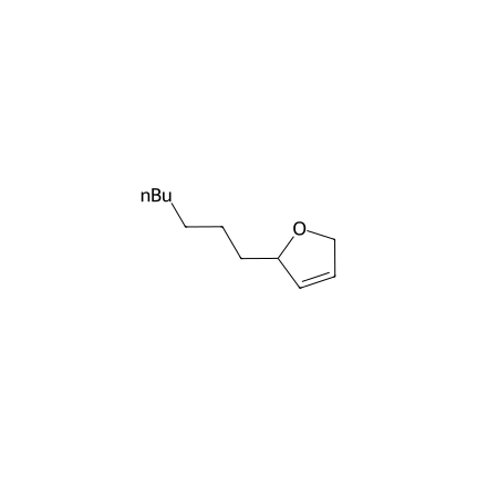 CCCCCCCC1C=CCO1